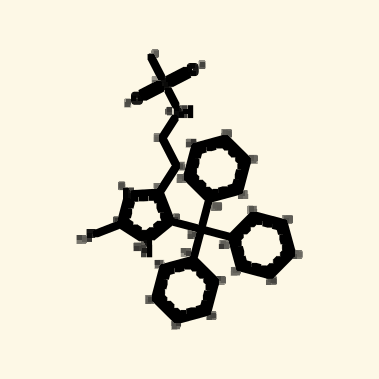 CS(=O)(=O)NCCc1nc(F)[nH]c1C(c1ccccc1)(c1ccccc1)c1ccccc1